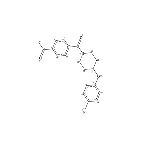 CC(=O)c1ccc(C(=O)N2CCC(Oc3ccc(Cl)cc3)CC2)cc1